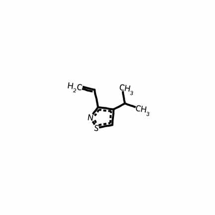 C=Cc1nscc1C(C)C